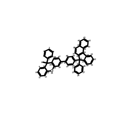 CC1(c2ccccc2)c2ccccc2Oc2cc(-c3ccc(C4(c5ccccc5)c5ccccc5-c5c4ccc4ccccc54)cc3)ccc21